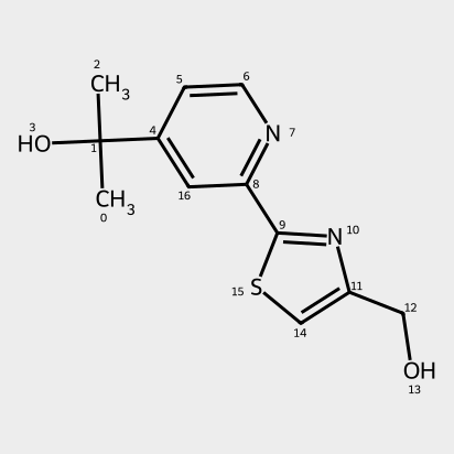 CC(C)(O)c1ccnc(-c2nc(CO)cs2)c1